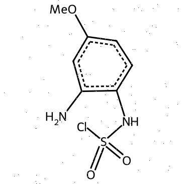 COc1ccc(NS(=O)(=O)Cl)c(N)c1